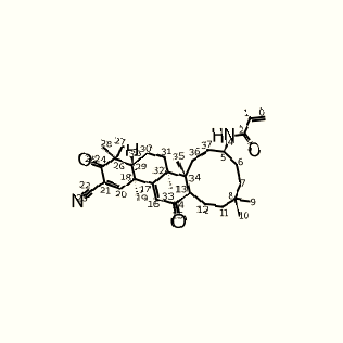 C=CC(=O)N[C@H]1CCC(C)(C)CCC2C(=O)C=C3[C@@]4(C)C=C(C#N)C(=O)C(C)(C)[C@@H]4CC[C@@]3(C)[C@]2(C)CC1